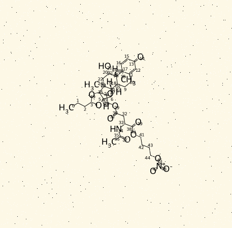 CCCC1O[C@@H]2C[C@H]3[C@@H]4CCC5=CC(=O)C=C[C@]5(C)[C@H]4[C@@H](O)C[C@]3(C)C2(C(=O)COC(=O)CC(NC(C)=O)C(=O)OCCCCO[N+](=O)[O-])O1